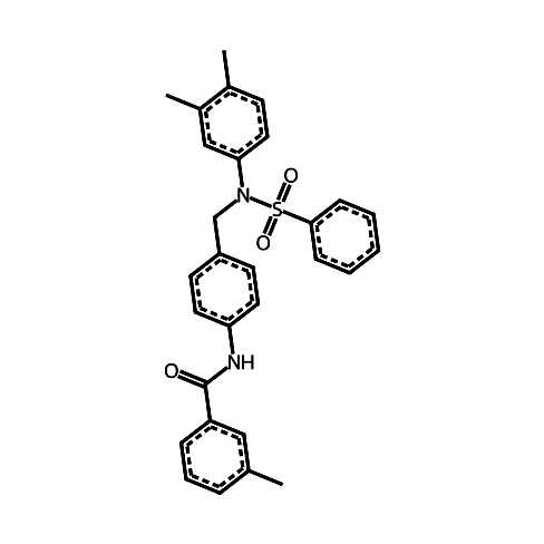 Cc1cccc(C(=O)Nc2ccc(CN(c3ccc(C)c(C)c3)S(=O)(=O)c3ccccc3)cc2)c1